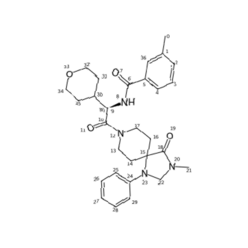 Cc1cccc(C(=O)N[C@@H](C(=O)N2CCC3(CC2)C(=O)N(C)CN3c2ccccc2)C2CCOCC2)c1